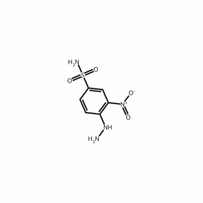 NNc1ccc(S(N)(=O)=O)cc1[N+](=O)[O-]